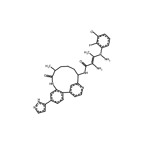 C/C(=C(/N)C(=O)NC1CCCC(C)C(=O)Nc2cc(-c3ccn[nH]3)ccc2-c2ccnc1c2)N(N)c1cccc(Cl)c1F